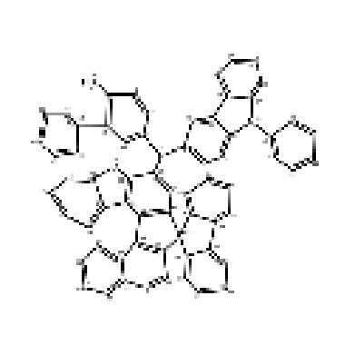 Cc1ccc(N(c2ccc3c(c2)c2ccccc2n3-c2ccccc2)c2cc3c(c4c2oc2ccccc24)-c2c(ccc4ccccc24)C32c3ccccc3-c3ccccc32)cc1-c1ccccc1